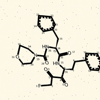 O=C(CF)C(=O)[C@H](CCc1ccccc1)NC(=O)[C@H](Cc1ccccc1)NC(=O)N1CCOCC1